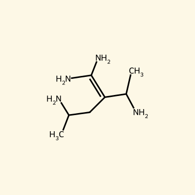 CC(N)CC(=C(N)N)C(C)N